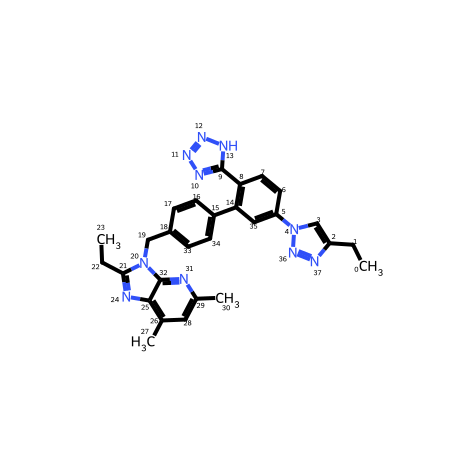 CCc1cn(-c2ccc(-c3nnn[nH]3)c(-c3ccc(Cn4c(CC)nc5c(C)cc(C)nc54)cc3)c2)nn1